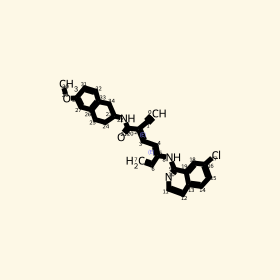 C#C/C(=C\C=C(/C=C)Nc1nccc2ccc(Cl)cc12)C(=O)NC1CCc2cc(OC)ccc2C1